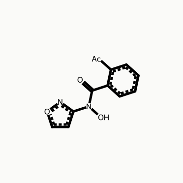 CC(=O)c1ccccc1C(=O)N(O)c1ccon1